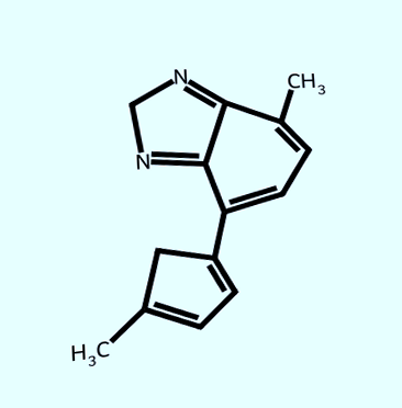 CC1=CC=C(c2ccc(C)c3c2=NCN=3)C1